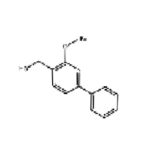 CC(C)(C)Oc1nc(-c2ccccc2)ccc1CO